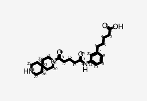 O=C(O)CCCCc1cccc(NC(=O)CCCC(=O)N2CCC3(CCNCC3)CC2)c1